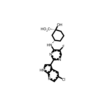 O=C(O)[C@]1(O)CCC[C@H](Nc2nc(-c3c[nH]c4ncc(Cl)cc34)ncc2F)C1